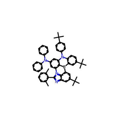 Cc1cccc(C)c1-c1nc2cc(C(C)(C)C)cc3c2n1-c1cc(N(c2ccccc2)c2ccccc2)cc2c1B3c1cc(C(C)(C)C)ccc1N2c1ccc(C(C)(C)C)cc1